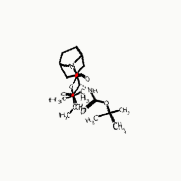 COC(=O)[C@@H](NC(=O)OC(C)(C)C)C1CC2CCC(C1)N2C(=O)OC(C)(C)C